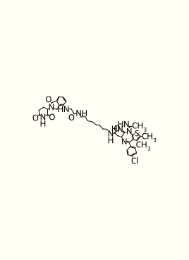 CC(=N)N1C(=N)[C@H](CC(=O)NCCCCCCCCNC(=O)CNc2cccc3c2CN(C2CCC(=O)NC2=O)C3=O)N=C(c2ccc(Cl)cc2)c2c1sc(C)c2C